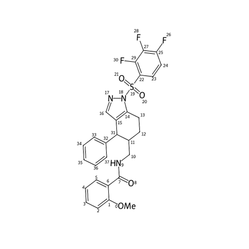 COc1ccccc1C(=O)NCC1CCc2c(cnn2S(=O)(=O)c2ccc(F)c(F)c2F)C1c1ccccc1